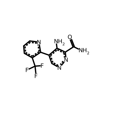 NC(=O)c1nncc(-c2ncccc2C(F)(F)F)c1N